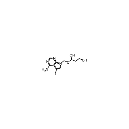 Nc1ncnc2c1c(I)cn2COC(O)CCO